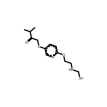 CC(C)C(=O)COc1ccc(OCCNCS)nc1